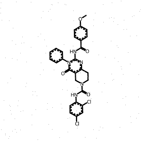 COc1ccc(C(=O)Nc2nc3c(c(=O)n2-c2ccccc2)CN(C(=O)Nc2ccc(Cl)cc2Cl)CC3)cc1